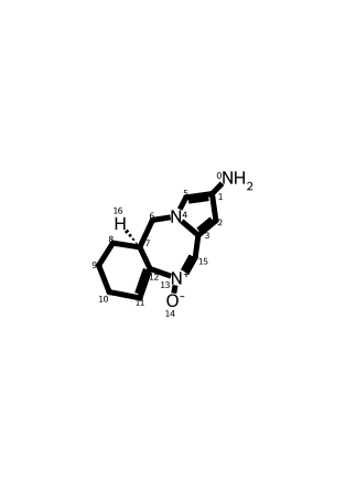 Nc1cc2n(c1)C[C@@H]1CCCC=C1[N+]([O-])=C2